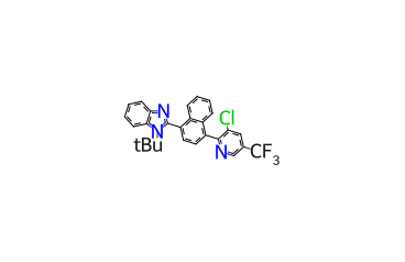 CC(C)(C)n1c(-c2ccc(-c3ncc(C(F)(F)F)cc3Cl)c3ccccc23)nc2ccccc21